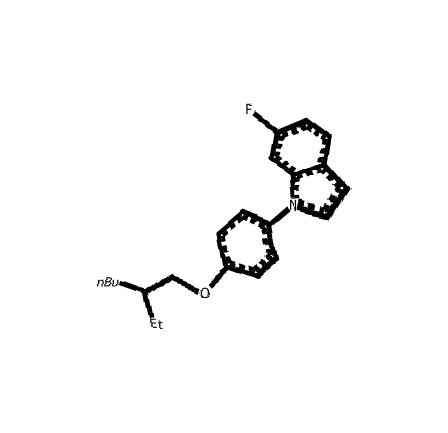 CCCCC(CC)COc1ccc(-n2ccc3ccc(F)cc32)cc1